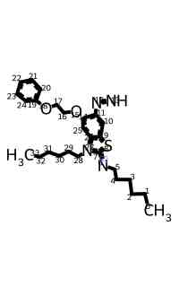 CCCCCC/N=c1\sc2cc(N=N)c(OCCOc3ccccc3)cc2n1CCCCCC